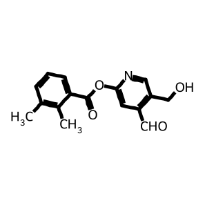 Cc1cccc(C(=O)Oc2cc(C=O)c(CO)cn2)c1C